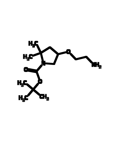 CC(C)(C)OC(=O)N1CC(OCCN)CC1(C)C